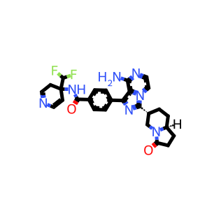 Nc1nccn2c([C@@H]3CC[C@H]4CCC(=O)N4C3)nc(-c3ccc(C(=O)NC4(C(F)F)C=CN=CC4)cc3)c12